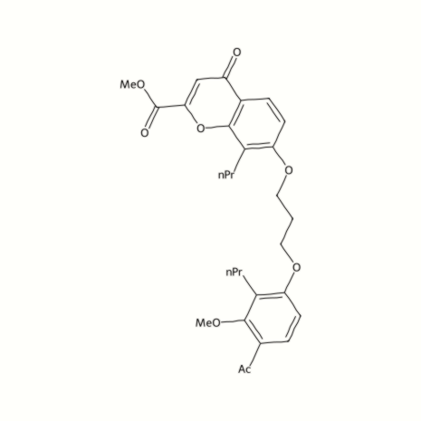 CCCc1c(OCCCOc2ccc3c(=O)cc(C(=O)OC)oc3c2CCC)ccc(C(C)=O)c1OC